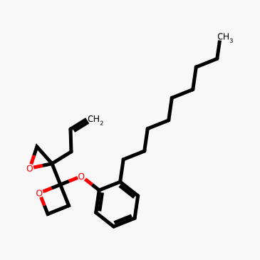 C=CCC1(C2(Oc3ccccc3CCCCCCCCC)CCO2)CO1